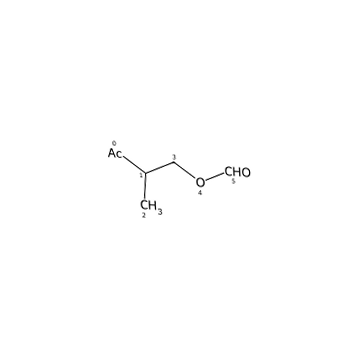 CC(=O)C(C)COC=O